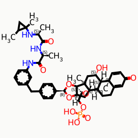 CC1CC1(C)N[C@@H](C)C(=O)N[C@@H](C)C(=O)Nc1cccc(Cc2ccc([C@@H]3O[C@@H]4C[C@H]5[C@@H]6CCC7=CC(=O)C=C[C@]7(C)[C@H]6[C@@H](O)C[C@]5(C)[C@]4(C(=O)COP(=O)(O)O)O3)cc2)c1